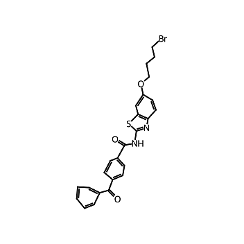 O=C(Nc1nc2ccc(OCCCCBr)cc2s1)c1ccc(C(=O)c2ccccc2)cc1